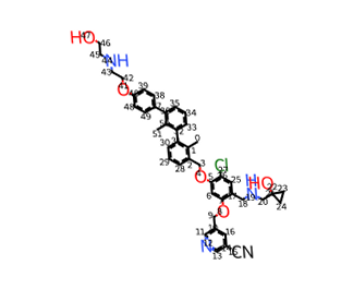 Cc1c(COc2cc(OCc3cncc(C#N)c3)c(CNCC3(O)CC3)cc2Cl)cccc1-c1cccc(-c2ccc(OCCNCCO)cc2)c1C